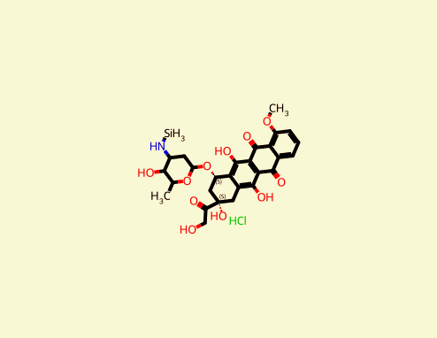 COc1cccc2c1C(=O)c1c(O)c3c(c(O)c1C2=O)C[C@@](O)(C(=O)CO)C[C@@H]3OC1CC(N[SiH3])C(O)C(C)O1.Cl